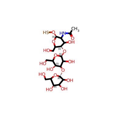 CC(=O)NC1C(O)[C@H](O[C@@H]2OC(CO)[C@H](O)C(O[C@H]3OC(CO)[C@H](O)C(O)C3O)C2O)C(CO)O[C@H]1OS